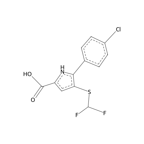 O=C(O)c1cc(SC(F)F)c(-c2ccc(Cl)cc2)[nH]1